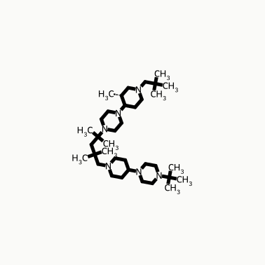 C[C@@H]1CN(CC(C)(C)C)CCC1N1CCN(C(C)(C)CC(C)(C)CN2CCC(N3CCN(C(C)(C)C)CC3)CC2)CC1